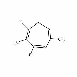 CC1=CCC(F)=C(C)C(F)=C1